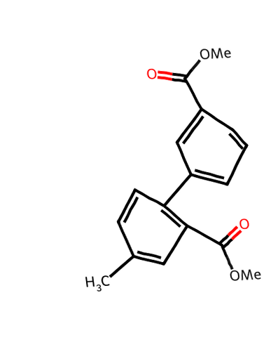 COC(=O)c1cccc(-c2ccc(C)cc2C(=O)OC)c1